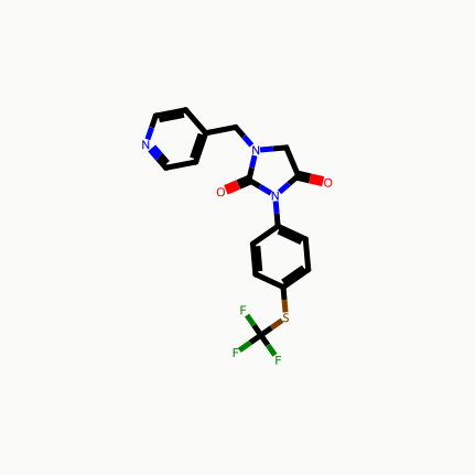 O=C1CN(Cc2ccncc2)C(=O)N1c1ccc(SC(F)(F)F)cc1